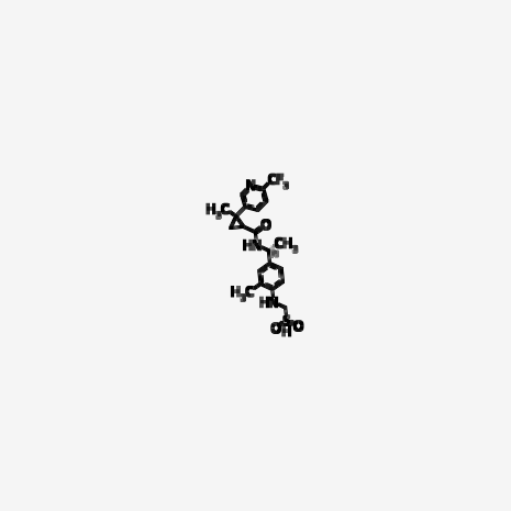 Cc1cc([C@@H](C)NC(=O)C2CC2(C)c2ccc(C(F)(F)F)nc2)ccc1NC[SH](=O)=O